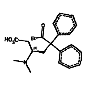 CCC(=O)C(C[C@H](CC(=O)O)N(C)C)(c1ccccc1)c1ccccc1